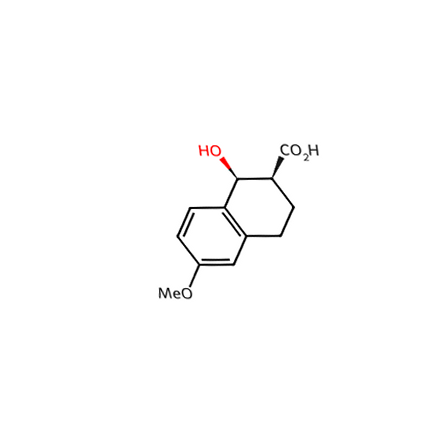 COc1ccc2c(c1)CC[C@H](C(=O)O)[C@@H]2O